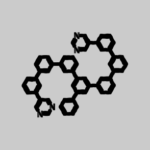 c1ccc(-c2cc(-c3cccc(-c4cccc(-c5cccc(-c6cncnc6)c5)c4)c3)cc(-c3cccc(-c4cccc(-c5cccc(-c6cncnc6)c5)c4)c3)c2)cc1